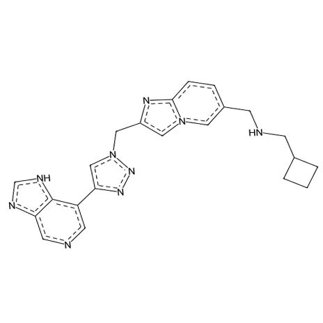 c1nc2cncc(-c3cn(Cc4cn5cc(CNCC6CCC6)ccc5n4)nn3)c2[nH]1